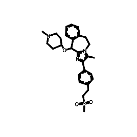 Cc1c(-c2ccc(CCS(C)(=O)=O)cc2)nc2n1CCc1ccccc1C2OC1CCN(C)CC1